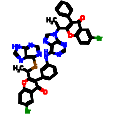 CC(Sc1ncnc2[nH]cnc12)c1oc2ccc(Br)cc2c(=O)c1-c1cccc(Nc2ncnc3c2ncn3C(C)c2oc3ccc(Br)cc3c(=O)c2-c2ccccc2)c1